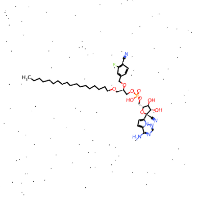 CCCCCCCCCCCCCCCCCCOC[C@H](COP(=O)(O)OC[C@H]1O[C@@](C#N)(c2ccc3c(N)ncnn23)[C@H](O)[C@@H]1O)OCc1ccc(C#N)c(F)c1